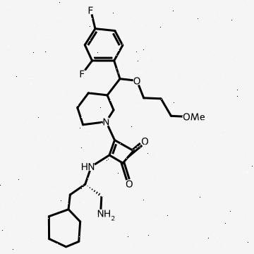 COCCCOC(c1ccc(F)cc1F)C1CCCN(c2c(N[C@H](CN)CC3CCCCC3)c(=O)c2=O)C1